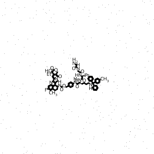 CC[C@@]1(O)C(=O)OCc2c1cc1n(c2=O)Cc2c-1nc1cc(F)c(C)c3c1c2[C@@H](NC(=O)OCc1ccc(NC(=O)[C@H](CCCCNC(c2ccccc2)(c2ccccc2)c2ccc(C)cc2)NC(=O)[C@@H](NC(=O)CNC(=O)CN)C(C)C)cc1)CC3